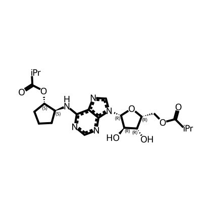 CC(C)C(=O)OC[C@H]1O[C@@H](n2cnc3c(N[C@H]4CCC[C@@H]4OC(=O)C(C)C)ncnc32)[C@H](O)[C@H]1O